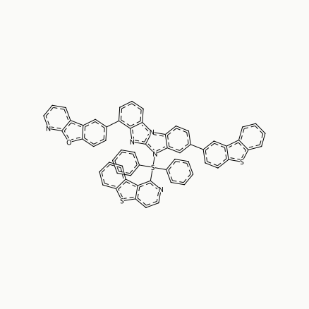 c1ccc(S(c2ccccc2)(c2nccc3sc4ccccc4c23)n2c3cc(-c4ccc5sc6ccccc6c5c4)ccc3n3c4cccc(-c5ccc6oc7ncccc7c6c5)c4nc23)cc1